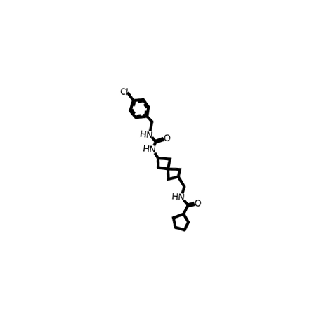 O=C(NCc1ccc(Cl)cc1)NC1CC2(CC(CNC(=O)C3CCCC3)C2)C1